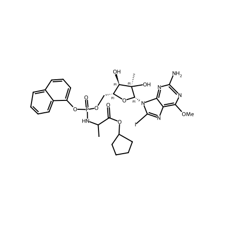 COc1nc(N)nc2c1nc(I)n2[C@@H]1O[C@H](COP(=O)(NC(C)C(=O)OC2CCCC2)Oc2cccc3ccccc23)[C@@H](O)[C@@]1(C)O